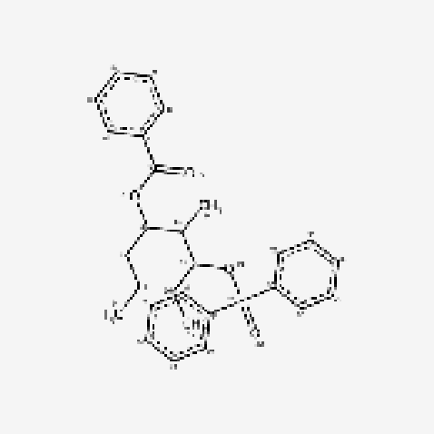 CCCC(OC(=O)c1ccccc1)C(C)C(CC)OP(=O)(c1ccccc1)c1ccccc1